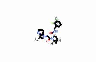 CC(=O)c1cn(CC(=O)N2[C@@H]3C[C@@H]3C[C@H]2C(=O)NCc2cccc(Cl)c2F)c2cccnc12